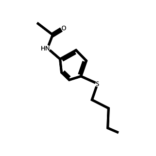 CCCCSc1ccc(NC(C)=O)cc1